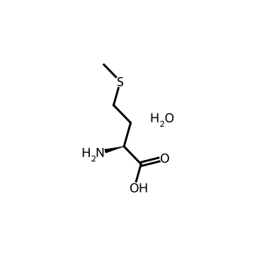 CSCC[C@H](N)C(=O)O.O